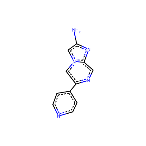 Nc1cn2cc(-c3ccncc3)ncc2n1